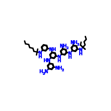 CCCCCCC(C)(C)Nc1cccc(Nc2cc(Nc3cc(N)cc(N)c3)cc(Nc3cc(N)cc(Nc4cc(N)cc(NC(C)(CC)CCCC)c4)c3)c2)c1